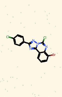 Clc1ccc(-c2nc3c4cccc(Br)c4nc(Cl)n3n2)cc1